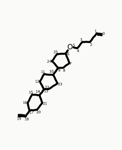 C=CCCCOC1CCC(C2CCC(C3CCC(C=C)CC3)CC2)CC1